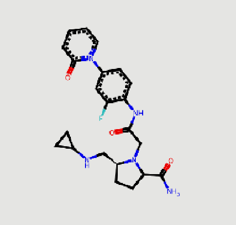 NC(=O)C1[CH]C[C@@H](CNC2CC2)N1CC(=O)Nc1ccc(-n2ccccc2=O)cc1F